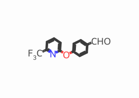 O=Cc1ccc(Oc2cccc(C(F)(F)F)n2)cc1